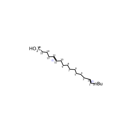 CCCC/C=C/CCCCCCCC/C=C/CCCC(=O)O